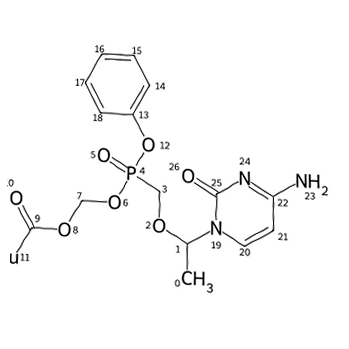 CC(OCP(=O)(OCOC(=O)C(C)(C)C)Oc1ccccc1)n1ccc(N)nc1=O